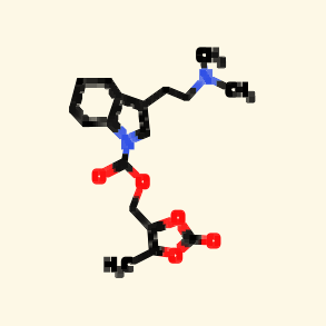 Cc1oc(=O)oc1COC(=O)n1cc(CCN(C)C)c2ccccc21